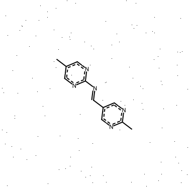 Cc1cnc(N=Cc2cnc(C)nc2)nc1